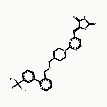 CC(C)(F)c1cccc(-c2ncccc2CNCC2CCN(c3nccc(/C=C4\SC(=O)NC4=O)n3)CC2)c1